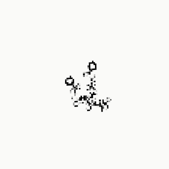 Cc1oc(=O)oc1COC(=O)[C@H](CSC(=O)OCOC(=O)c1ccccc1)NC(=O)C(C)(C)SC(=O)OCOC(=O)c1ccccc1